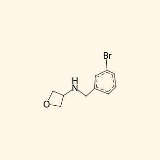 Brc1cccc(CNC2COC2)c1